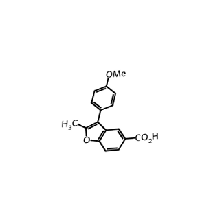 COc1ccc(-c2c(C)oc3ccc(C(=O)O)cc23)cc1